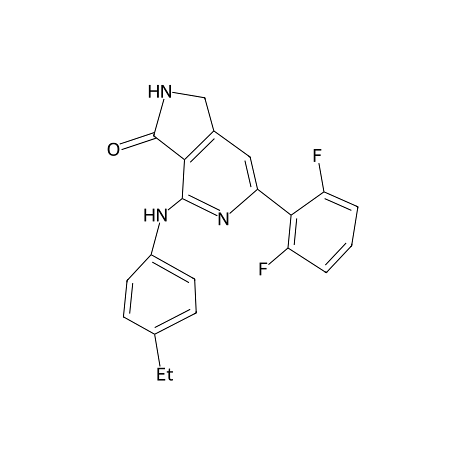 CCc1ccc(Nc2nc(-c3c(F)cccc3F)cc3c2C(=O)NC3)cc1